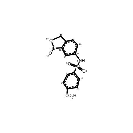 O=C(O)c1ccc(S(=O)(=O)Nc2ccc3c(c2)B(O)OC3)cc1